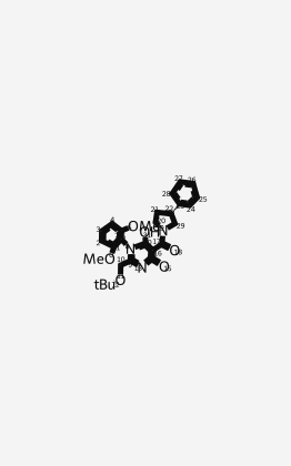 COc1cccc(OC)c1-n1c(COC(C)(C)C)nc(=O)c(C(=O)N2CC[C@H](c3ccccc3)C2)c1O